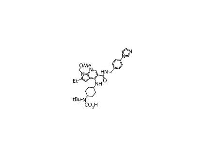 CCc1cc2c(NC3CCC(N(C(=O)O)C(C)(C)C)CC3)c(C(=O)NCc3ccc(-n4ccnc4)cc3)cnc2n1COC